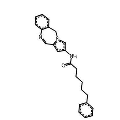 O=C(CCCCCc1ccccc1)Nc1cc2n(c1)Cc1ccccc1N=C2